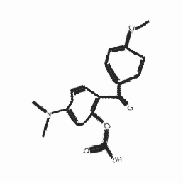 COc1ccc(C(=O)c2ccc(N(C)C)cc2OC(=O)O)cc1